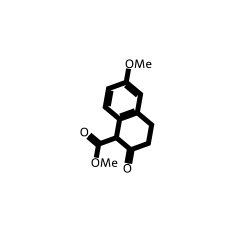 COC(=O)C1C(=O)CCc2cc(OC)ccc21